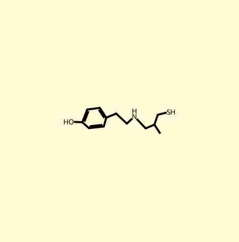 CC(CS)CNCCc1ccc(O)cc1